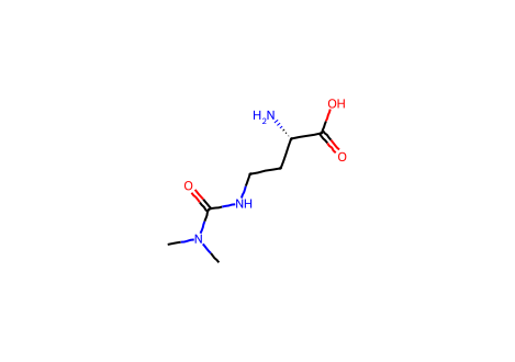 CN(C)C(=O)NCC[C@H](N)C(=O)O